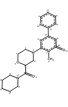 Cn1c(N2CCOC(C(=O)N3CCCCC3)C2)nc(-c2ccncn2)cc1=O